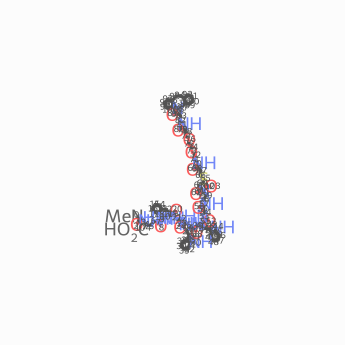 CNC(=O)N[C@@H](CCC(=O)NNC(Cc1ccccc1)C(=O)NCC(=O)NC(Cc1c[nH]c2ccccc12)C(=O)NC(Cc1c[nH]c2ccccc12)C(=O)NCC(=O)NCCN1C(=O)CC(SCCC(=O)NCCOCCOCCC(=O)NCCC(=O)N2Cc3ccccc3CCc3ccccc32)C1=O)C(=O)O